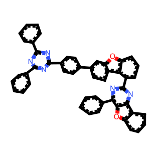 c1ccc(-c2nc(-c3ccccc3)nc(-c3ccc(-c4ccc5c(c4)oc4cccc(-c6nc(-c7ccccc7)c7oc8ccccc8c7n6)c45)cc3)n2)cc1